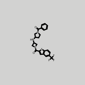 O=C(c1ccccc1)N1CCC(NC2CN(C(=O)c3cc4cc(C(F)(F)F)ccc4s3)C2)C1